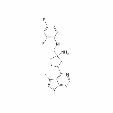 Cc1c[nH]c2ncnc(N3CCC(N)(CNc4ccc(F)cc4F)C3)c12